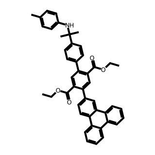 CCOC(=O)c1cc(-c2ccc3c4ccccc4c4ccccc4c3c2)c(C(=O)OCC)cc1-c1ccc(C(C)(C)Nc2ccc(C)cc2)cc1